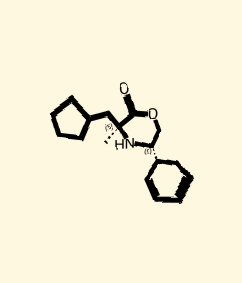 C[C@@]1(CC2CCCC2)N[C@@H](C2C=CC=CC2)COC1=O